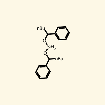 CCCCC(O[SiH2]OC(CCCC)c1ccccc1)c1ccccc1